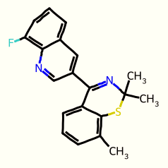 Cc1cccc2c1SC(C)(C)N=C2c1cnc2c(F)cccc2c1